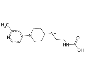 Cc1cc(N2CCC(NCCNC(=O)O)CC2)ccn1